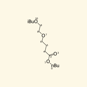 CCCCOC(=O)CCCOCCOCC(C)C